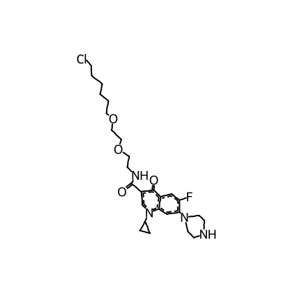 O=C(NCCOCCOCCCCCCCl)c1cn(C2CC2)c2cc(N3CCNCC3)c(F)cc2c1=O